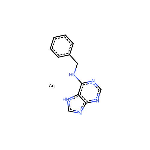 [Ag].c1ccc(CNc2ncnc3nc[nH]c23)cc1